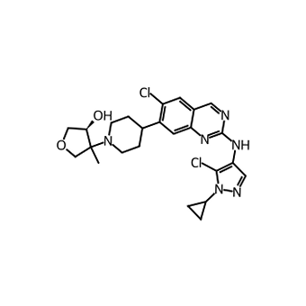 CC1(N2CCC(c3cc4nc(Nc5cnn(C6CC6)c5Cl)ncc4cc3Cl)CC2)COC[C@H]1O